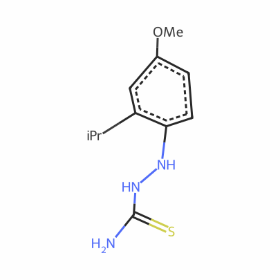 COc1ccc(NNC(N)=S)c(C(C)C)c1